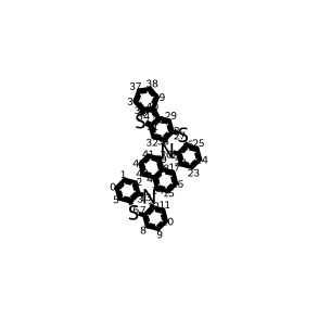 c1ccc2c(c1)Sc1ccccc1N2c1cccc2c(N3c4ccccc4Sc4cc5c(cc43)sc3ccccc35)cccc12